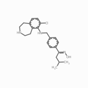 CC(C)CC(=NO)c1ccc(CNc2c(Cl)ccc3c2CCNCC3)cc1